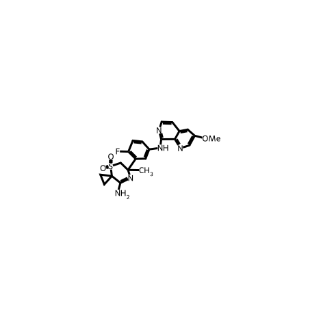 COc1cnc2c(Nc3ccc(F)c(C4(C)CS(=O)(=O)C5(CC5)C(N)=N4)c3)nccc2c1